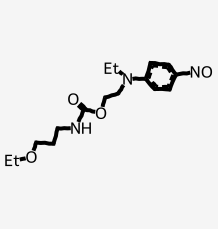 CCOCCCNC(=O)OCCN(CC)c1ccc(N=O)cc1